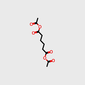 CC(=O)OC(=O)CCCCC(=O)OC(C)=O